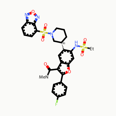 CCS(=O)(=O)Nc1cc2oc(-c3ccc(F)cc3)c(C(=O)NC)c2cc1[C@H]1CCCN(S(=O)(=O)c2cccc3nonc23)C1